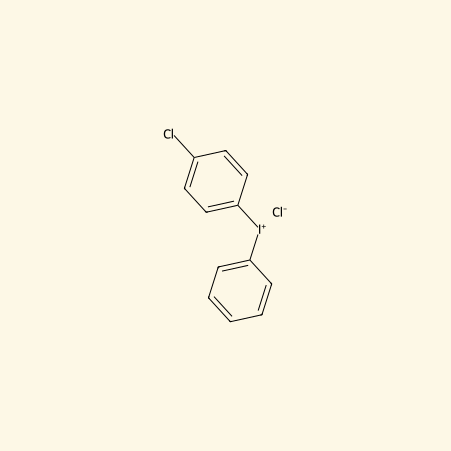 Clc1ccc([I+]c2ccccc2)cc1.[Cl-]